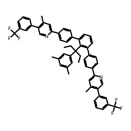 CCC(CC)(c1cc(C)cc(C)c1)c1c(-c2ccc(-c3cc(C)c(-c4cccc(C(F)(F)F)c4)cn3)cc2)cccc1-c1ccc(-c2cc(C)c(-c3cccc(C(F)(F)F)c3)cn2)cc1